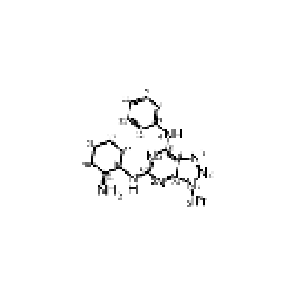 CC(C)n1nnc2c(Nc3ccccc3)nc(NC3CCCCC3N)nc21